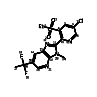 CCS(=O)(=O)c1cc(Cl)cnc1-c1nc2cc(C(C)(F)F)cnc2n1C